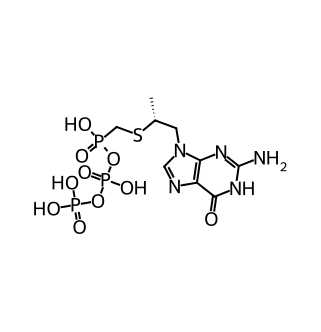 C[C@H](Cn1cnc2c(=O)[nH]c(N)nc21)SCP(=O)(O)OP(=O)(O)OP(=O)(O)O